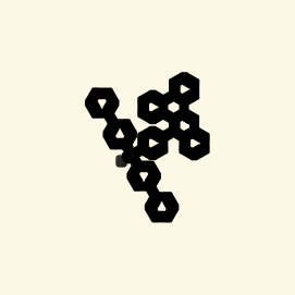 O=P(c1ccc(-c2ccccc2)cc1)(c1ccc(-c2ccccc2)cc1)c1ccc(-c2c3ccccc3cc3c4ccccc4c4ccccc4c23)cc1